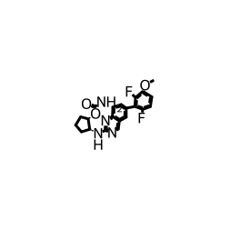 COc1ccc(F)c(-c2ccc3nc(N[C@@H]4CCC[C@@H]4OC(N)=O)ncc3c2)c1F